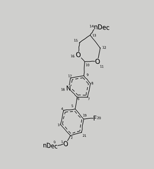 CCCCCCCCCCOc1ccc(-c2ccc(C3OCC(CCCCCCCCCC)CO3)cn2)c(F)c1